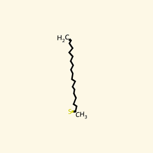 C=CCCCCCCCCCCCCCCCCC(C)=S